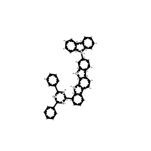 c1ccc(-c2nc(-c3ccccc3)nc(-c3cccc4c3oc3c4ccc4c5ccc(-n6c7ccccc7c7ccccc76)cc5oc43)n2)cc1